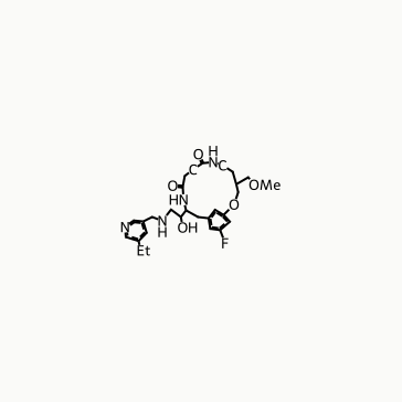 CCc1cncc(CNCC(O)C2Cc3cc(F)cc(c3)OCC(COC)CCNC(=O)CCC(=O)N2)c1